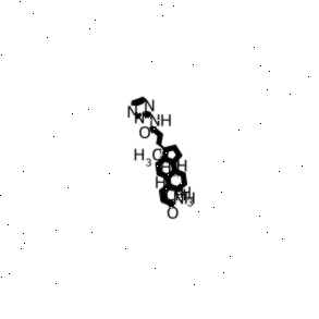 C[C@]12C=CC(=O)N[C@@H]1CC[C@@H]1[C@@H]2CC[C@]2(C)[C@@H](CCC(=O)Nc3nccnn3)CC[C@@H]12